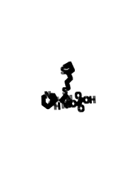 O=C(O)C(=O)O.c1csc(CCCSc2nsnc2[C@H]2CN3CCC[C@H]2C3)c1